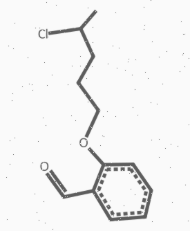 CC(Cl)CCCOc1ccccc1C=O